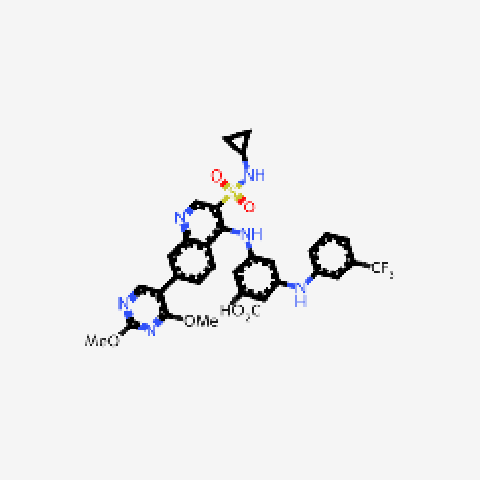 COc1ncc(-c2ccc3c(Nc4cc(Nc5cccc(C(F)(F)F)c5)cc(C(=O)O)c4)c(S(=O)(=O)NC4CC4)cnc3c2)c(OC)n1